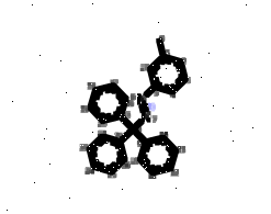 Cc1cccc(/N=N/C(c2ccccc2)(c2ccccc2)c2ccccc2)c1